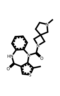 Cc1scc2c1N(C(=O)N1CC3(CCN(C)C3)C1)c1ccccc1NC2=O